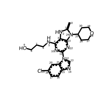 C=C1Nc2c(NCCCO)nc(-n3cnc4ccc(Cl)cc43)nc2N1C1CCOCC1